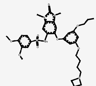 CCCOc1cc(OCCCCN2CCC2)cc(Oc2cc3c(cc2NS(=O)(=O)c2ccc(OC)c(OC)c2)n(C)c(=O)n3C)c1